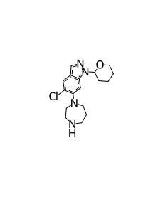 Clc1cc2cnn(C3CCCCO3)c2cc1N1CCCNCC1